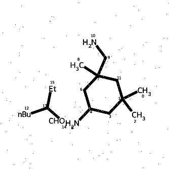 CC1(C)CC(N)CC(C)(CN)C1.CCCCC(C=O)CC